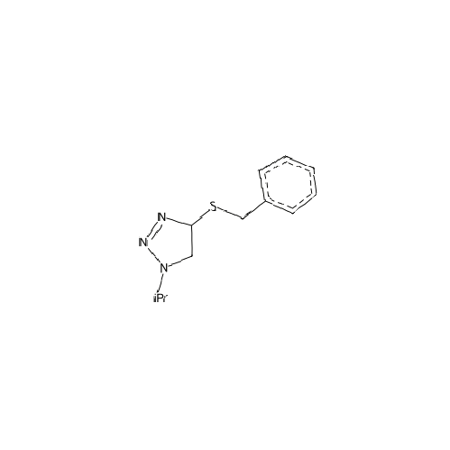 CC(C)N1CC(SCc2ccccc2)N=N1